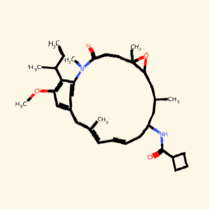 CCC(C)c1c(OC)cc2cc1N(C)C(=O)CCC1(C)OC1CC(C)CC(NC(=O)C1CCC1)C/C=C/C=C(\C)C2